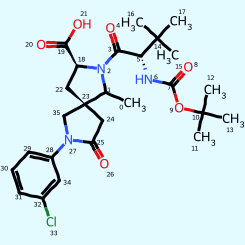 CC1N(C(=O)[C@@H](NC(=O)OC(C)(C)C)C(C)(C)C)[C@H](C(=O)O)C[C@]12CC(=O)N(c1cccc(Cl)c1)C2